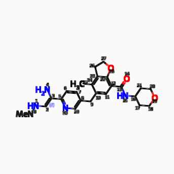 CNN/C=C(\N)c1ccc(Cc2cc(C(=O)NC3CCOCC3)c3c(c2C)CCO3)cn1